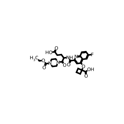 CCOC(=O)N1CCN(C(=O)C(CCC(=O)O)NC(=O)c2cc(OC3(C(=O)O)CCC3)c3cc(F)ccc3n2)CC1